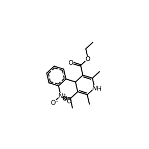 CCOC(=O)C1=C(C)NC(C)=C(C(C)=O)C1c1ccccc1[N+](=O)[O-]